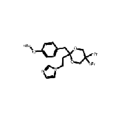 CCCCOc1ccc(CC2(CCn3ccnc3)OCC(CCC)(CCC)CO2)cc1